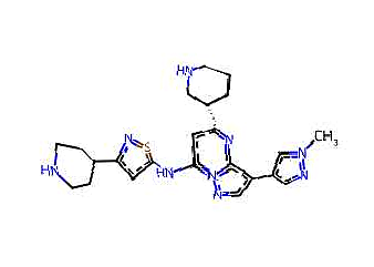 Cn1cc(-c2cnn3c(Nc4cc(C5CCNCC5)ns4)cc([C@H]4CCCNC4)nc23)cn1